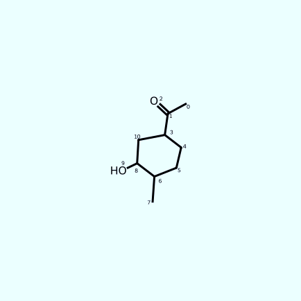 CC(=O)C1CCC(C)C(O)C1